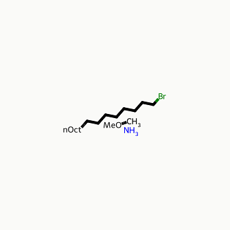 CCCCCCCCCCCCCCCCBr.COC.N